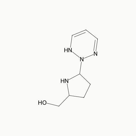 OCC1CCC(N2N=CC=CN2)N1